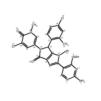 COc1nc(N)ncc1-c1cc2c(n1C(C)C)C(c1ccc(Cl)cc1C)N(c1cc(Cl)c(=O)n(C)c1)C2=O